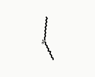 CCCCCCCCCCCCCC[N+](C)([O-])CCCCCCCCCCCC